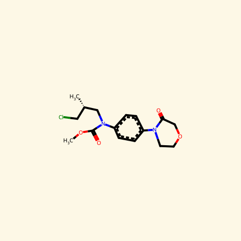 COC(=O)N(C[C@@H](C)CCl)c1ccc(N2CCOCC2=O)cc1